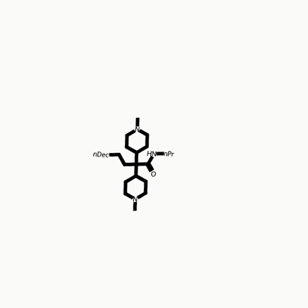 CCCCCCCCCCCCC(C(=O)NCCC)(C1CCN(C)CC1)C1CCN(C)CC1